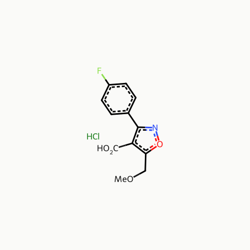 COCc1onc(-c2ccc(F)cc2)c1C(=O)O.Cl